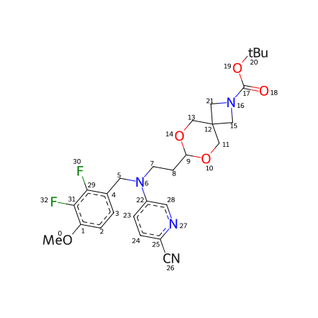 COc1ccc(CN(CCC2OCC3(CO2)CN(C(=O)OC(C)(C)C)C3)c2ccc(C#N)nc2)c(F)c1F